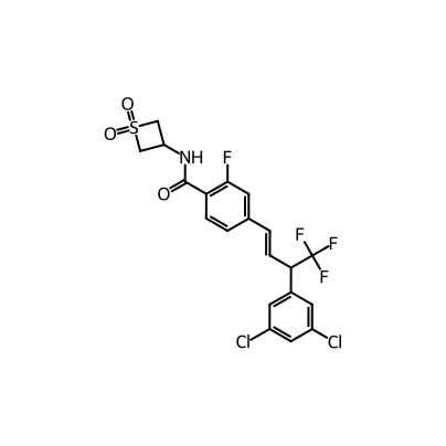 O=C(NC1CS(=O)(=O)C1)c1ccc(/C=C/C(c2cc(Cl)cc(Cl)c2)C(F)(F)F)cc1F